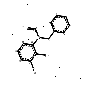 O=[C]N(Cc1ccccc1)c1cccc(F)c1F